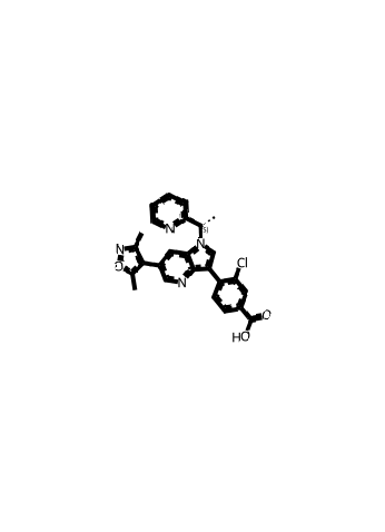 Cc1noc(C)c1-c1cnc2c(-c3ccc(C(=O)O)cc3Cl)cn([C@@H](C)c3ccccn3)c2c1